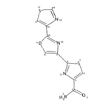 NC(=O)c1csc(-c2coc(-c3cscn3)n2)n1